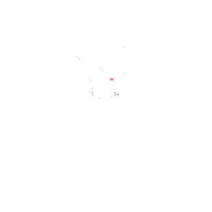 Cc1cc(Cl)ccc1OC(C(O)C(C)(C)CBr)(C(Cl)C(C)(CCl)C(O)C(Oc1ccccc1)n1cncn1)n1cncn1